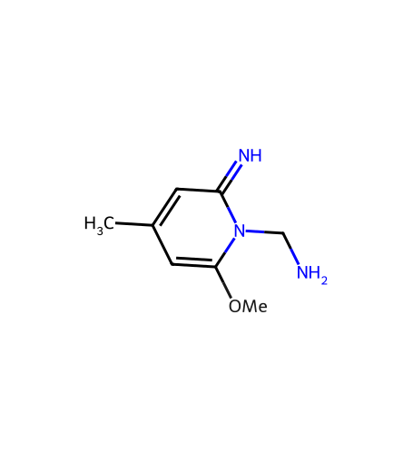 COc1cc(C)cc(=N)n1CN